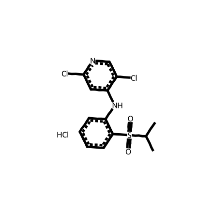 CC(C)S(=O)(=O)c1ccccc1Nc1cc(Cl)ncc1Cl.Cl